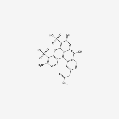 N=c1ccc2c(-c3cc(CC(N)=O)ccc3C(=O)O)c3ccc(N)c(S(=O)(=O)O)c3oc-2c1S(=O)(=O)O